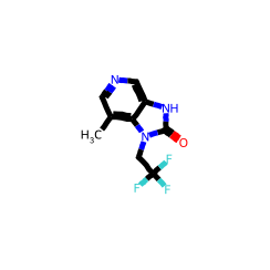 Cc1cncc2[nH]c(=O)n(CC(F)(F)F)c12